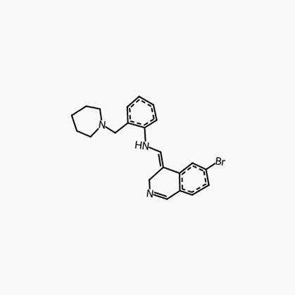 Brc1ccc2c(c1)C(=CNc1ccccc1CN1CCCCC1)CN=C2